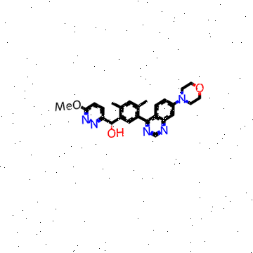 COc1ccc([C@@H](O)c2cc(-c3ncnc4cc(N5CCOCC5)ccc34)c(C)cc2C)nn1